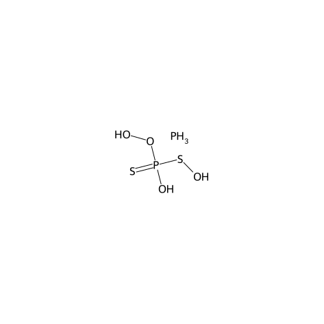 OOP(O)(=S)SO.P